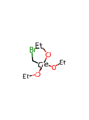 CC[O][Ge]([CH2]Br)([O]CC)[O]CC